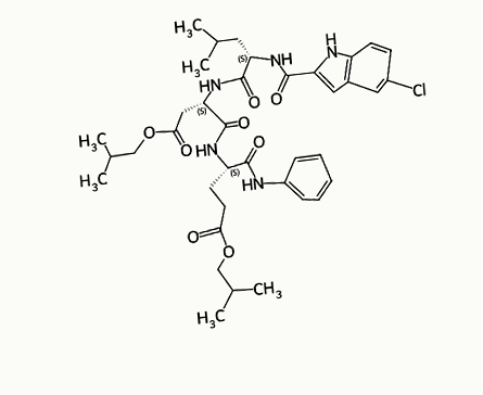 CC(C)COC(=O)CC[C@H](NC(=O)[C@H](CC(=O)OCC(C)C)NC(=O)[C@H](CC(C)C)NC(=O)c1cc2cc(Cl)ccc2[nH]1)C(=O)Nc1ccccc1